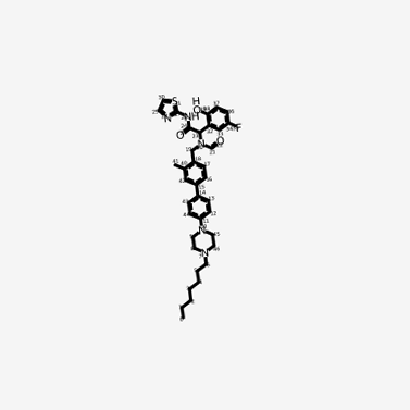 CCCCCCCN1CCN(c2ccc(-c3ccc(CN(C=O)C(C(=O)Nc4nccs4)c4cc(F)ccc4O)c(C)c3)cc2)CC1